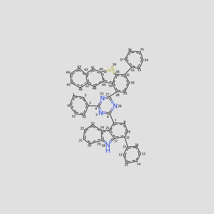 c1ccc(-c2nc(-c3ccc(-c4ccccc4)c4[nH]c5ccccc5c34)nc(-c3ccc(-c4ccccc4)c4sc5cc6ccccc6cc5c34)n2)cc1